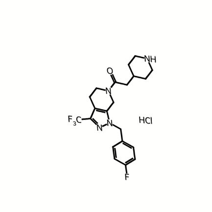 Cl.O=C(CC1CCNCC1)N1CCc2c(C(F)(F)F)nn(Cc3ccc(F)cc3)c2C1